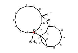 CN1C2CCCCCCCC[C@@H](CCC2)SC2CCCCCC3CC1(C3)C2